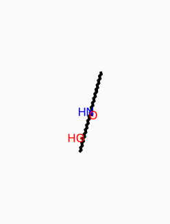 CCCCCCCCC=CCCCCCCCCNC(=O)CCCCCCCCCCC(O)CCCCCC